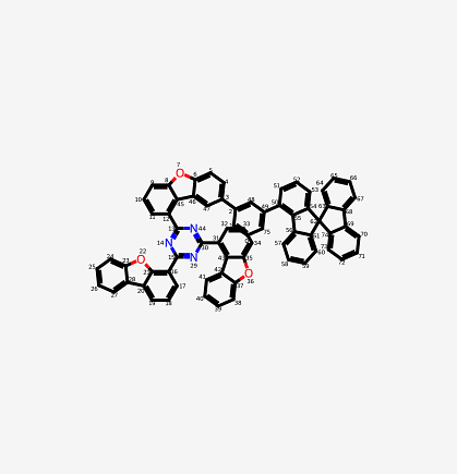 c1cc(-c2ccc3oc4cccc(-c5nc(-c6cccc7c6oc6ccccc67)nc(-c6cccc7oc8ccccc8c67)n5)c4c3c2)cc(-c2cccc3c2-c2ccccc2C32c3ccccc3-c3ccccc32)c1